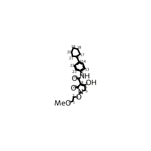 COCCON1CC(O)=C(C(=O)Nc2ccc(C3CCCCC3)cc2)C1=O